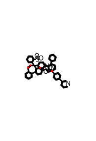 O=S1(=O)c2ccccc2C2(c3ccccc3-c3ccccc3-c3ccc(-c4cc(-c5ccc(-c6cccnc6)cc5)nc(-c5ccccc5)n4)cc32)c2cc3oc4ccccc4c3cc21